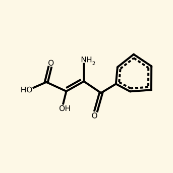 N/C(C(=O)c1ccccc1)=C(/O)C(=O)O